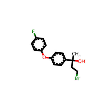 CC(O)(CCBr)c1ccc(Oc2ccc(F)cc2)cc1